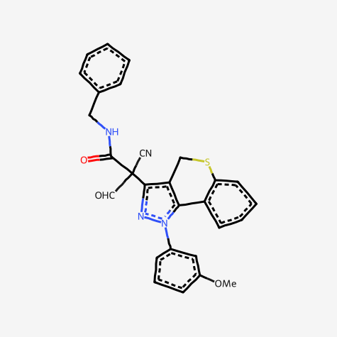 COc1cccc(-n2nc(C(C#N)(C=O)C(=O)NCc3ccccc3)c3c2-c2ccccc2SC3)c1